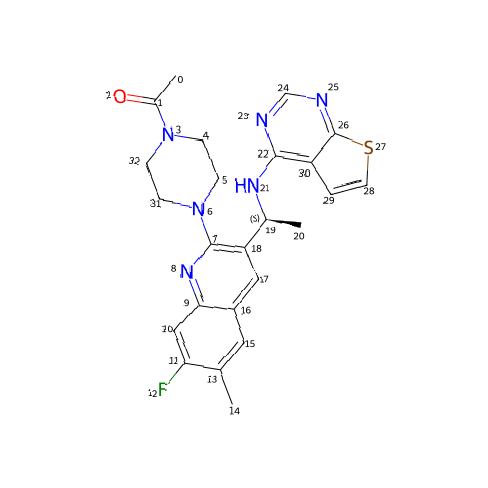 CC(=O)N1CCN(c2nc3cc(F)c(C)cc3cc2[C@H](C)Nc2ncnc3sccc23)CC1